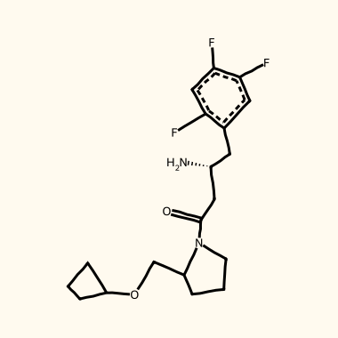 N[C@@H](CC(=O)N1CCCC1COC1CCC1)Cc1cc(F)c(F)cc1F